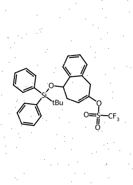 CC(C)(C)[Si](OC1CC=C(OS(=O)(=O)C(F)(F)F)Cc2ccccc21)(c1ccccc1)c1ccccc1